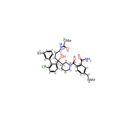 CCc1cccc(-c2c(Cl)cccc2[C@](O)(CCCNC(=O)OC)[C@@H]2CCCN(C(=O)c3ccc(CNC)cc3C(N)=O)C2)c1